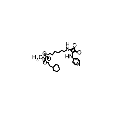 CN(OCCC1CCCCC1)S(=O)(=O)CCCCCCNc1c(Nc2ccncc2)c(=O)c1=O